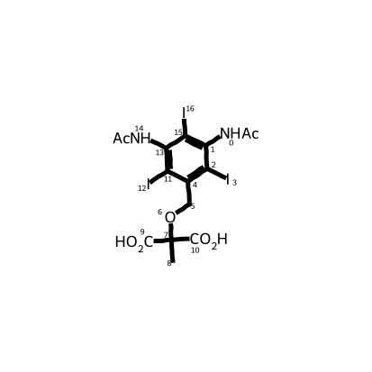 CC(=O)Nc1c(I)c(COC(C)(C(=O)O)C(=O)O)c(I)c(NC(C)=O)c1I